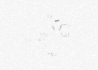 CSCC[C@H](NCc1cc(Br)cc(Br)c1N)C(=O)O